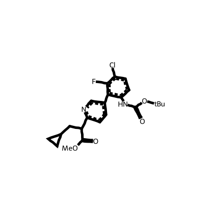 COC(=O)C(CC1CC1)c1ccc(-c2c(NC(=O)OC(C)(C)C)ccc(Cl)c2F)cn1